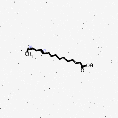 C/C=C\C/C=C/CCCCCCCCCC(=O)O